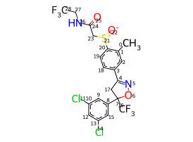 Cc1cc(C2=NOC(c3cc(Cl)cc(Cl)c3)(C(F)(F)F)C2)ccc1[S+]([O-])CC(=O)NCC(F)(F)F